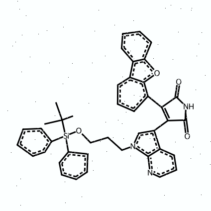 CC(C)(C)[Si](OCCCn1cc(C2=C(c3cccc4c3oc3ccccc34)C(=O)NC2=O)c2cccnc21)(c1ccccc1)c1ccccc1